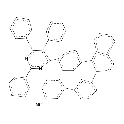 N#Cc1cccc(-c2cccc(-c3ccc4ccccc4c3-c3ccc(-c4nc(-c5ccccc5)nc(-c5ccccc5)c4-c4ccccc4)cc3)c2)c1